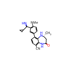 CNc1ccc(-c2ccc(C#N)c3c2N[C@H](C)CC(=O)N3)cc1C(=N)C1CC1